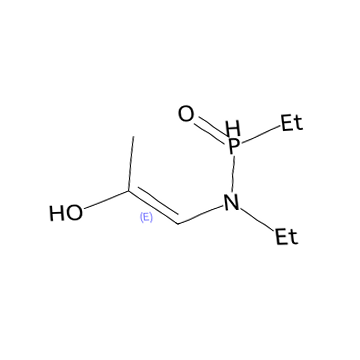 CCN(/C=C(\C)O)[PH](=O)CC